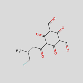 CC(CF)CC(=O)C1C(=O)C(C=O)C(=O)C(C=O)C1=O